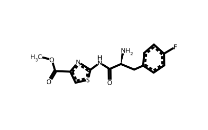 COC(=O)c1csc(NC(=O)[C@@H](N)Cc2ccc(F)cc2)n1